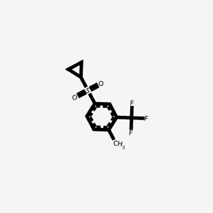 Cc1ccc(S(=O)(=O)C2CC2)cc1C(F)(F)F